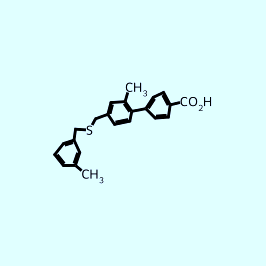 Cc1cccc(CSCc2ccc(-c3ccc(C(=O)O)cc3)c(C)c2)c1